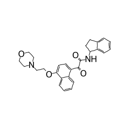 O=C(NC1CCc2ccccc21)C(=O)c1ccc(OCCN2CCOCC2)c2ccccc12